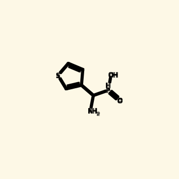 NC(c1ccsc1)[PH](=O)O